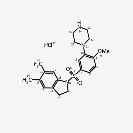 COc1ccc(S(=O)(=O)N2CCc3cc(C)c(C(F)(F)F)cc32)cc1N1CCNCC1.Cl